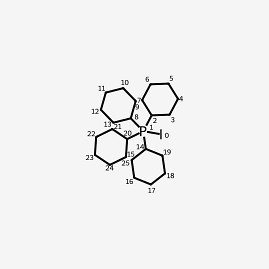 IP(C1CCCCC1)(C1CCCCC1)(C1CCCCC1)C1CCCCC1